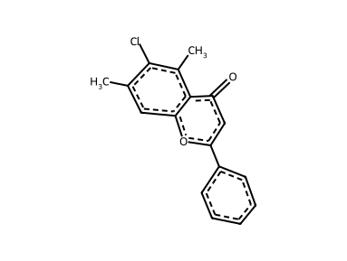 Cc1cc2oc(-c3ccccc3)cc(=O)c2c(C)c1Cl